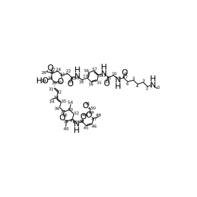 CNCCCCCC(=O)NCC(=O)Nc1ccc(CNC(=O)C[C@@H]2CC3(CO3)[C@H](O)[C@@H](/C=C/C(C)=C/CC3OC(C)C(NC(=O)/C=C\C(C)OC=O)CC3C)O2)cc1